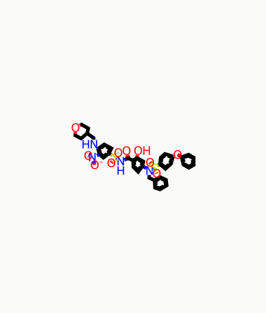 O=C(NS(=O)(=O)c1ccc(NCC2CCOCC2)c([N+](=O)[O-])c1)c1ccc(N(Cc2ccccc2)S(=O)(=O)c2ccc(Oc3ccccc3)cc2)cc1O